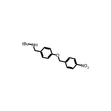 CC(C)(C)NCc1ccc(OCc2ccc([N+](=O)[O-])cc2)cc1